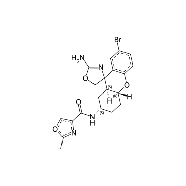 Cc1nc(C(=O)N[C@H]2CC[C@H]3Oc4ccc(Br)cc4C4(COC(N)=N4)[C@@H]3C2)co1